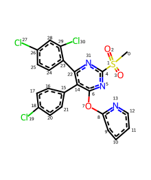 CS(=O)(=O)c1nc(Oc2ccccn2)c(-c2ccc(Cl)cc2)c(-c2ccc(Cl)cc2Cl)n1